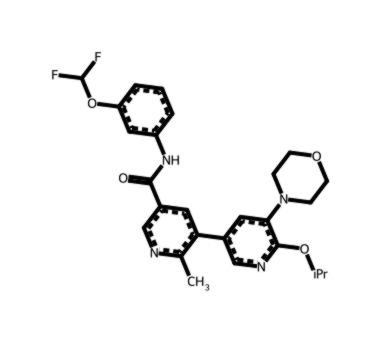 Cc1ncc(C(=O)Nc2cccc(OC(F)F)c2)cc1-c1cnc(OC(C)C)c(N2CCOCC2)c1